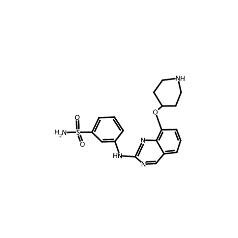 NS(=O)(=O)c1cccc(Nc2ncc3cccc(OC4CCNCC4)c3n2)c1